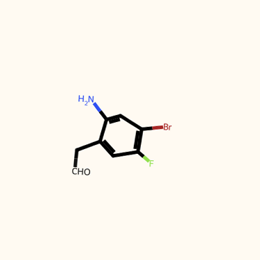 Nc1cc(Br)c(F)cc1CC=O